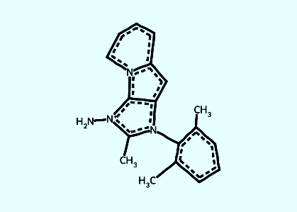 Cc1cccc(C)c1-n1c(C)[n+](N)c2c1cc1ccccn12